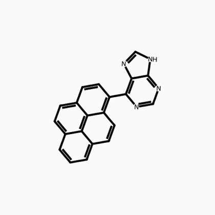 c1cc2ccc3ccc(-c4ncnc5[nH]cnc45)c4ccc(c1)c2c34